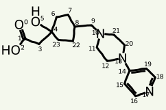 O=C(O)CC1(O)CCC(CN2CCN(c3ccncc3)CC2)CC1